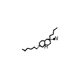 CCCCCC[C@H]1CCC2C[C@](C#N)(CCCC)CC[C@@H]2C1